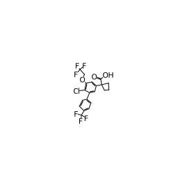 O=C(O)C1(c2cc(OCC(F)(F)F)c(Cl)c(-c3ccc(C(F)(F)F)cc3)c2)CCC1